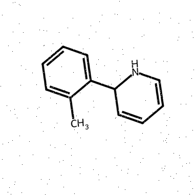 Cc1ccccc1C1C=CC=CN1